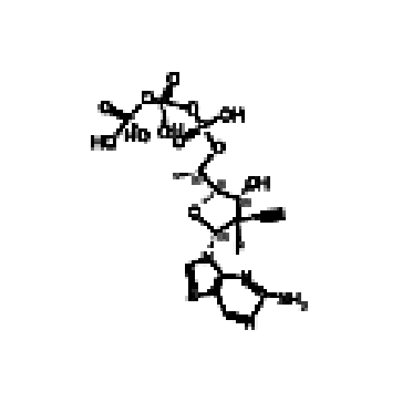 C#CC1(F)[C@@H](O)[C@@H]([C@H](C)OP(=O)(O)OP(=O)(O)OP(=O)(O)O)O[C@H]1n1cnc2cnc(N)nc21